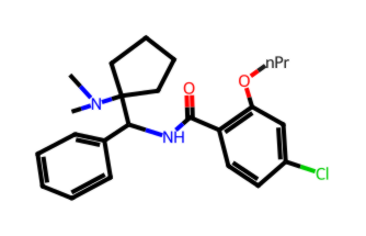 CCCOc1cc(Cl)ccc1C(=O)NC(c1ccccc1)C1(N(C)C)CCCC1